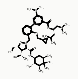 CC(C)C[C@@H](CN(C)C)NC(=O)c1cc(-c2cccc(CN3O[C@@H](CO)[C@@H]([C@H](C)O)[C@H]3C(=O)N[C@H]3C[C@@H](C)C(C)(C)[C@@H](C)[C@@H]3C)c2OCC2CC2)cc(N(C)C)c1